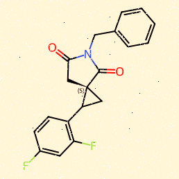 O=C1C[C@]2(CC2c2ccc(F)cc2F)C(=O)N1Cc1ccccc1